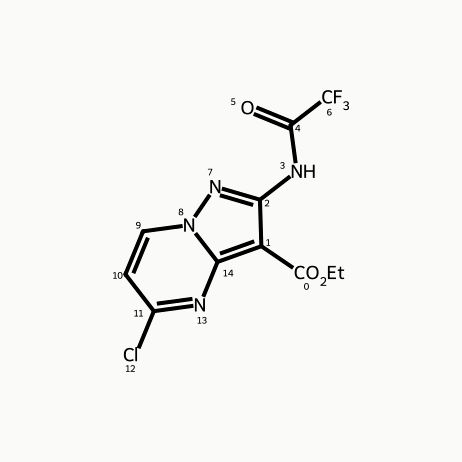 CCOC(=O)c1c(NC(=O)C(F)(F)F)nn2ccc(Cl)nc12